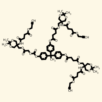 C#CCOC(=O)CCC(=O)NC1(COC(=O)CCC(=O)Oc2ccc(C(C)(c3ccc(OC(=O)CCC(=O)OCC4(NC(=O)CCC(=O)OCC#C)COC(C)(C)OC4)cc3)c3ccc(OC(=O)OCC(=O)OCC4(NC(=O)CCC(=O)OCC#C)COC(C)(C)OC4)cc3)cc2)COC(C)(C)OC1